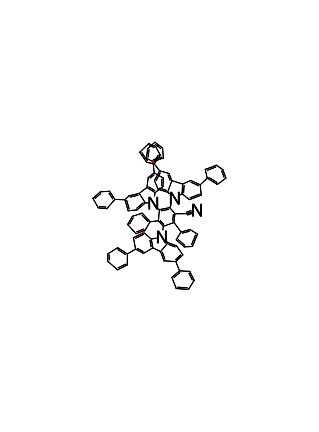 N#Cc1c(-c2ccccc2)c(-n2c3ccc(-c4ccccc4)cc3c3cc(-c4ccccc4)ccc32)c(-c2ccccc2)c(-n2c3ccc(-c4ccccc4)cc3c3cc(-c4ccccc4)ccc32)c1-n1c2ccc(-c3ccccc3)cc2c2cc(-c3ccccc3)ccc21